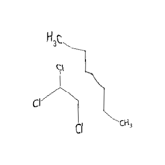 CCCCCC.ClCC(Cl)Cl